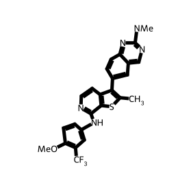 CNc1ncc2cc(-c3c(C)sc4c(Nc5ccc(OC)c(C(F)(F)F)c5)nccc34)ccc2n1